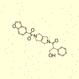 O=C(C(CO)c1ccccc1)N1CC2=C(C1)CN(S(=O)(=O)c1ccc3occc3c1)C2